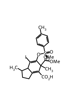 COC(OC)C1(C)C(OS(=O)(=O)c2ccc(C)cc2)=C(I)C2C(=C1C(=O)O)CCC2C